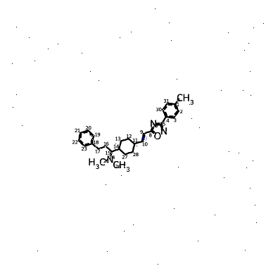 Cc1ccc(-c2noc(/C=C/C3CCC(C(CCc4ccccc4)N(C)C)CC3)n2)cc1